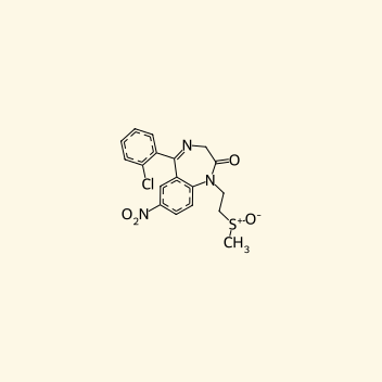 C[S+]([O-])CCN1C(=O)CN=C(c2ccccc2Cl)c2cc([N+](=O)[O-])ccc21